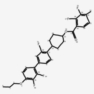 CCCOc1ccc(-c2ccc(C3CCC(OC(=O)c4ccc(C)c(F)c4F)CC3)c(F)c2)c(F)c1F